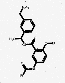 CCOc1ccc(NC(=O)C(C)C)cc1C(=O)NC(C)c1cccc(CNC)c1